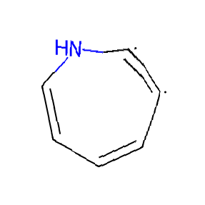 [C]1=[C]NC=CC=C1